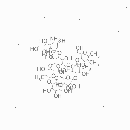 CC1C(O)[C@H](O[C@@H]2OC(CO)[C@H](O)C(O[C@]3(C(=O)O)C[C@@H](O)[C@@H](N)C(C(O)C(O)CO)O3)[C@@H]2O)[C@H](CO)O[C@H]1O[C@@H]1C(O)[C@H](O)C(CO)O[C@@H]1OCC1O[C@@H](O[C@@H]2C(CO)O[C@@H](O[C@@H]3C(CO)O[C@@H](C)[C@@H](C)C3O)[C@@H](C)C2O)[C@H](O)C(O)[C@@H]1O